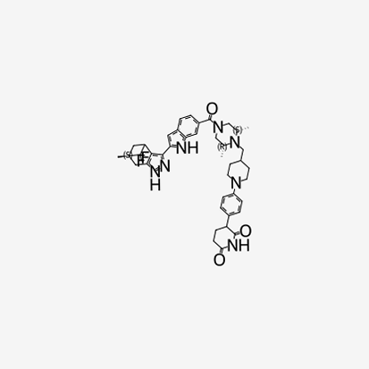 C[C@@H]1CN(C(=O)c2ccc3cc(-c4n[nH]c5c4C4C[C@@](C)(C5)C4(F)F)[nH]c3c2)C[C@H](C)N1CC1CCN(c2ccc(C3CCC(=O)NC3=O)cc2)CC1